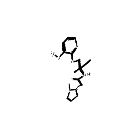 CN1CCC[C@@H]1CC(=O)NC(C)(C)COc1ncccc1OC(F)(F)F